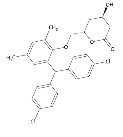 Cc1cc(C)c(OC[C@@H]2C[C@@H](O)CC(=O)O2)c(C(c2ccc(Cl)cc2)c2ccc(Cl)cc2)c1